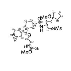 CNC[C@H](CCC1(OC)CCCC1)NC(=O)N1CCC[C@@H](C(OCCNC(=O)OC)c2cccc(F)c2)C1